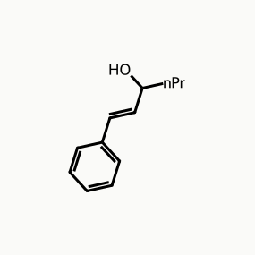 CCCC(O)C=Cc1ccccc1